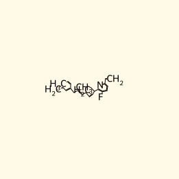 C=C/C=C(\C=C/C)C/C(C)=C/C/C=C\C(C=C)c1nc(C=C)ccc1F